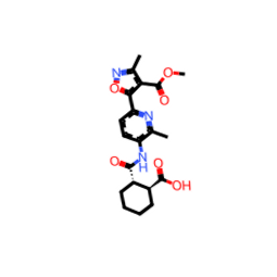 COC(=O)c1c(C)noc1-c1ccc(NC(=O)[C@H]2CCCC[C@@H]2C(=O)O)c(C)n1